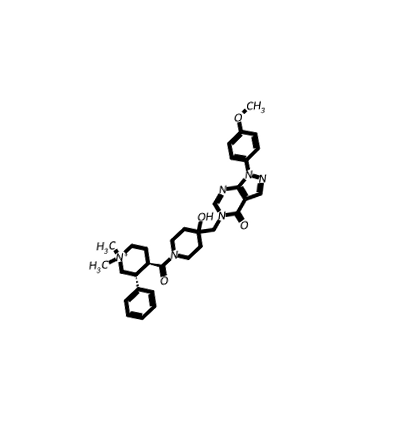 COc1ccc(-n2ncc3c(=O)n(CC4(O)CCN(C(=O)[C@@H]5CC[N+](C)(C)C[C@H]5c5ccccc5)CC4)cnc32)cc1